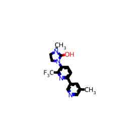 Cc1cncc(-c2ccc(N3CCN(C)C3O)c(C(F)(F)F)n2)c1